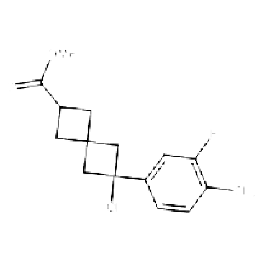 COC(=O)C1CC2(C1)CC(O)(c1ccc(C)c(F)c1)C2